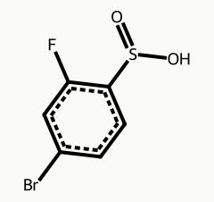 O=S(O)c1ccc(Br)cc1F